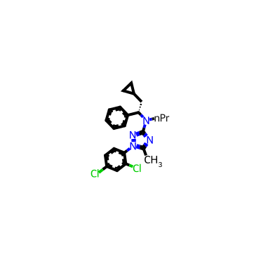 CCCN(c1nc(C)n(-c2ccc(Cl)cc2Cl)n1)[C@@H](CC1CC1)c1ccccc1